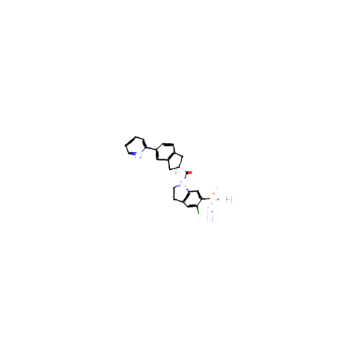 CS(=N)(=O)c1cc2c(cc1F)CCN2C(=O)[C@@H]1Cc2ccc(-c3ccccn3)cc2C1